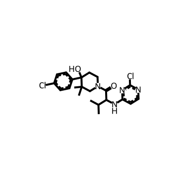 CC(C)C(Nc1ccnc(Cl)n1)C(=O)N1CCC(O)(c2ccc(Cl)cc2)C(C)(C)C1